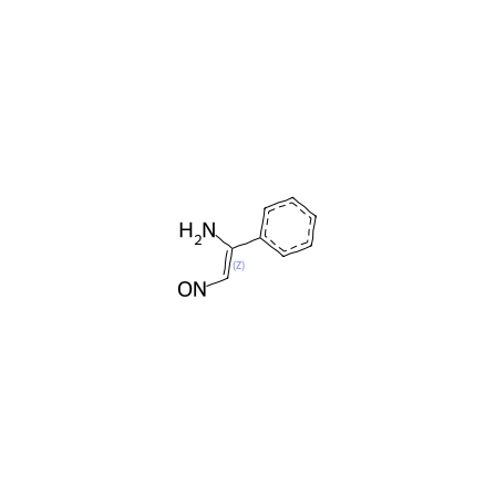 N/C(=C\N=O)c1ccccc1